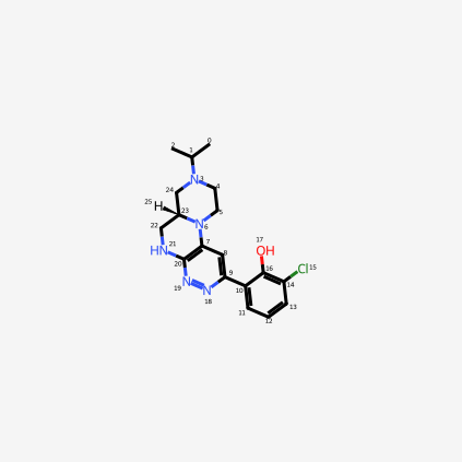 CC(C)N1CCN2c3cc(-c4cccc(Cl)c4O)nnc3NC[C@@H]2C1